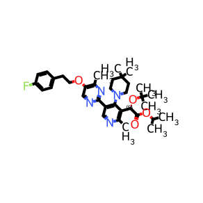 Cc1nc(-c2cnc(C)c([C@H](OC(C)(C)C)C(=O)OC(C)C)c2N2CCC(C)(C)CC2)ncc1OCCc1ccc(F)cc1